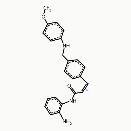 Nc1ccccc1NC(=O)/C=C\c1ccc(CNc2ccc(OC(F)(F)F)cc2)cc1